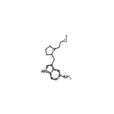 COCCN1CCCC1Cc1c[nH]c2ccc(N)cc12